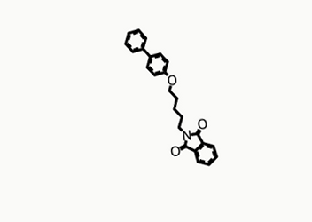 O=C1c2ccccc2C(=O)N1CCCCCOc1ccc(-c2ccccc2)cc1